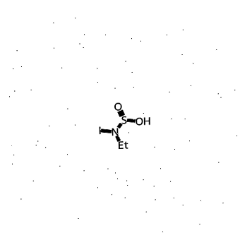 CCN(I)S(=O)O